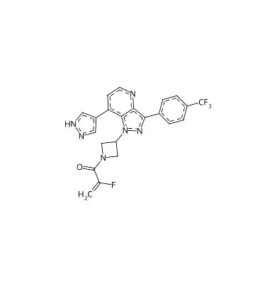 C=C(F)C(=O)N1CC(n2nc(-c3ccc(C(F)(F)F)cc3)c3nccc(-c4cn[nH]c4)c32)C1